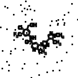 Cc1ncc(C(=O)Nc2cc(CO)c(Cl)c(C(F)(F)F)c2)cc1-n1cc(-c2cnn(C)c2C)nn1